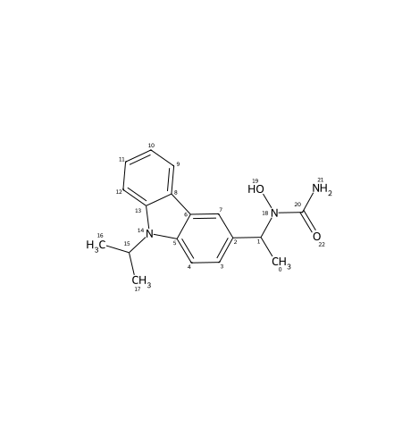 CC(c1ccc2c(c1)c1ccccc1n2C(C)C)N(O)C(N)=O